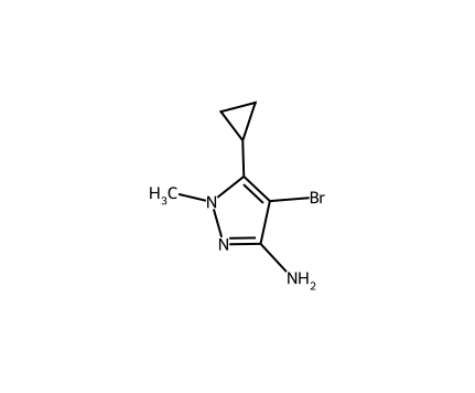 Cn1nc(N)c(Br)c1C1CC1